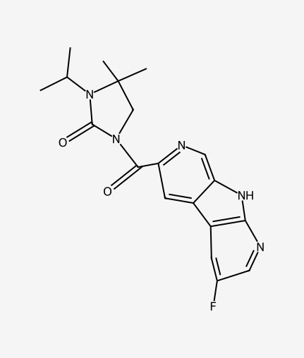 CC(C)N1C(=O)N(C(=O)c2cc3c(cn2)[nH]c2ncc(F)cc23)CC1(C)C